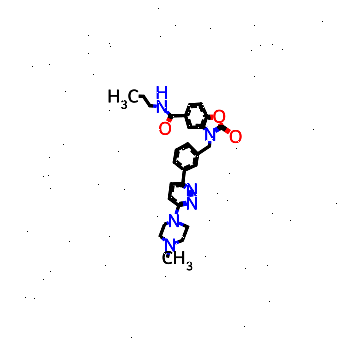 CCCNC(=O)c1ccc2oc(=O)n(Cc3cccc(-c4ccc(N5CCN(C)CC5)nn4)c3)c2c1